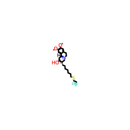 COc1cc2c(cc1OC)[C@@H]1C[C@H](O)[C@@H](CCCCCCCSCC[19F])CN1CC2